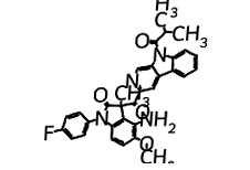 COc1ccc2c(c1N)[C@@](C)(C(=O)c1cc3c4ccccc4n(C(=O)C(C)C)c3cn1)C(=O)N2c1ccc(F)cc1